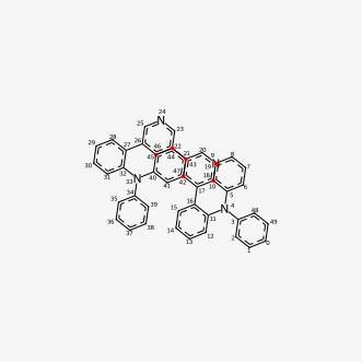 c1ccc(N(c2ccccc2)c2ccccc2-c2cncc(-c3cncc(-c4ccccc4N(c4ccccc4)c4ccccc4)c3)c2)cc1